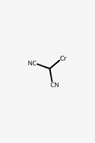 N#C[CH]([Cr])C#N